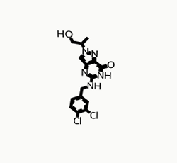 CC(CO)n1cc2nc(NCc3ccc(Cl)c(Cl)c3)[nH]c(=O)c2n1